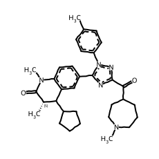 Cc1ccc(-n2nc(C(=O)C3CCCN(C)CC3)nc2-c2ccc3c(c2)C(C2CCCC2)[C@H](C)C(=O)N3C)cc1